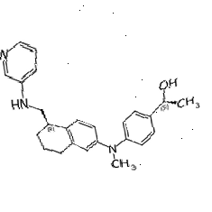 C[C@H](O)c1ccc(N(C)c2ccc3c(c2)CCC[C@H]3CNc2cccnc2)cc1